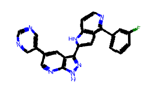 Fc1cccc(-c2nccc3[nH]c(-c4n[nH]c5ncc(-c6cncnc6)cc45)cc23)c1